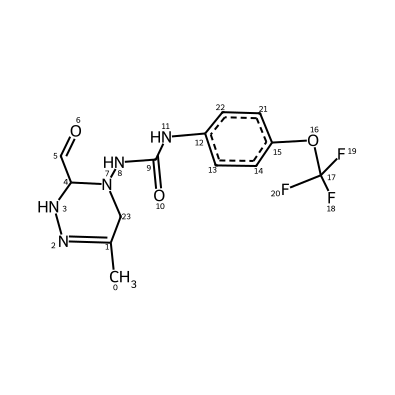 CC1=NNC(C=O)N(NC(=O)Nc2ccc(OC(F)(F)F)cc2)C1